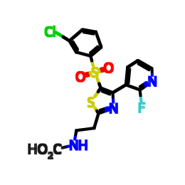 O=C(O)NCCc1nc(-c2cccnc2F)c(S(=O)(=O)c2cccc(Cl)c2)s1